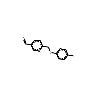 O=Cc1ccc(COc2ccc(F)cc2)nc1